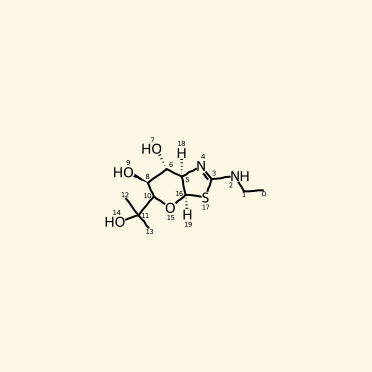 CCNC1=N[C@@H]2[C@@H](O)[C@H](O)C(C(C)(C)O)O[C@@H]2S1